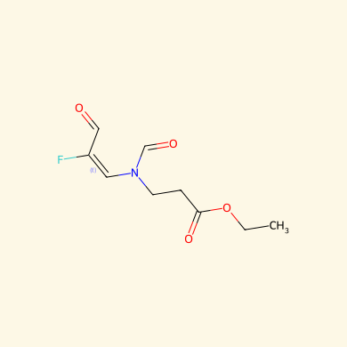 CCOC(=O)CCN(C=O)/C=C(/F)C=O